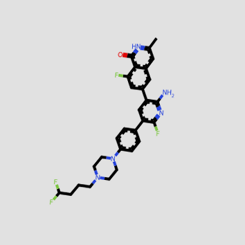 Cc1cc2cc(-c3cc(-c4ccc(N5CCN(CCCC(F)F)CC5)cc4)c(F)nc3N)cc(F)c2c(=O)[nH]1